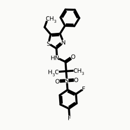 CCc1sc(NC(=O)C(C)(C)S(=O)(=O)c2ccc(F)cc2F)nc1-c1ccccc1